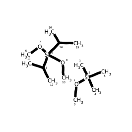 CO[Si](C)(C)C.CO[Si](OC)(C(C)C)C(C)C